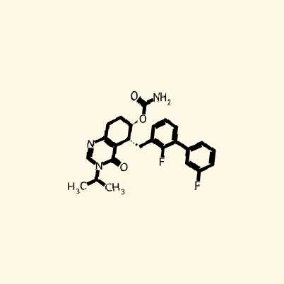 CC(C)n1cnc2c(c1=O)[C@@H](Cc1cccc(-c3cccc(F)c3)c1F)[C@@H](OC(N)=O)CC2